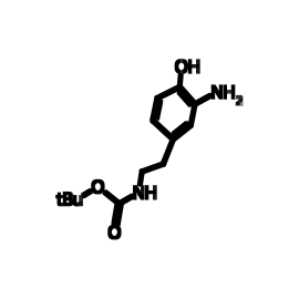 CC(C)(C)OC(=O)NCCc1ccc(O)c(N)c1